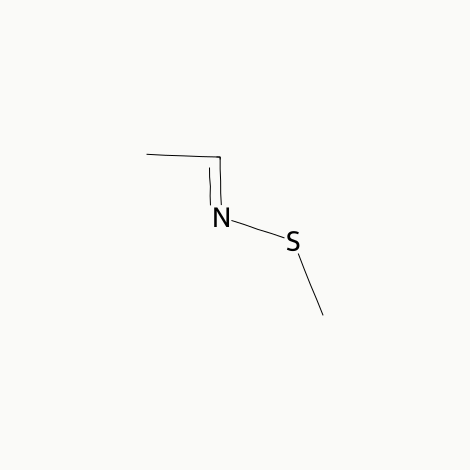 C/C=N/SC